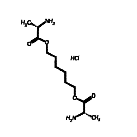 C[C@H](N)C(=O)OCCCCCCOC(=O)[C@H](C)N.Cl